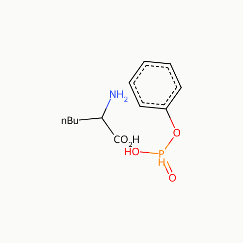 CCCCC(N)C(=O)O.O=[PH](O)Oc1ccccc1